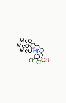 COc1cc(CC2CCC(CCO)(c3ccc(Cl)c(Cl)c3)N2)cc(OC)c1OC